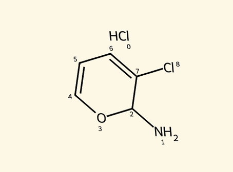 Cl.NC1OC=CC=C1Cl